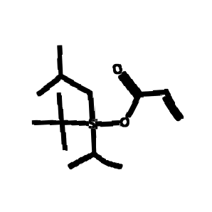 C=CC(=O)O[Si](CC(C)C)(C(C)C)C(C)(C)C